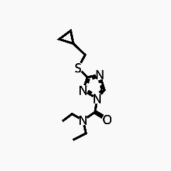 CCN(CC)C(=O)n1cnc(SCC2CC2)n1